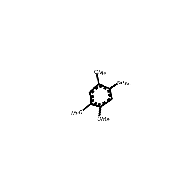 [CH2]C(=O)Nc1cc(OC)c(OC)cc1OC